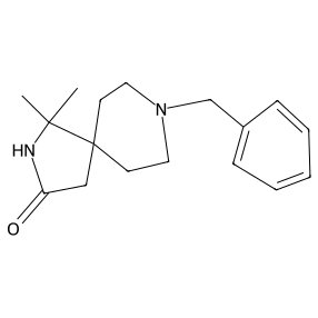 CC1(C)NC(=O)CC12CCN(Cc1ccccc1)CC2